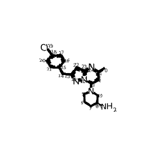 Cc1cc(N2CCC[C@H](N)C2)n2nc(Cc3ccc(Cl)cc3)cc2n1